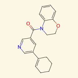 O=C(c1cncc(C2=CCCCC2)c1)N1CCOc2ccccc21